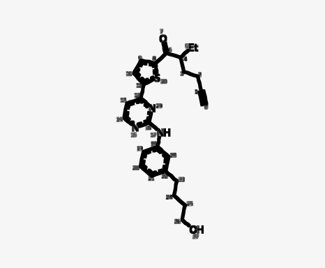 C#CCCC(CC)C(=O)c1ccc(-c2ccnc(Nc3cccc(CCCCO)c3)n2)s1